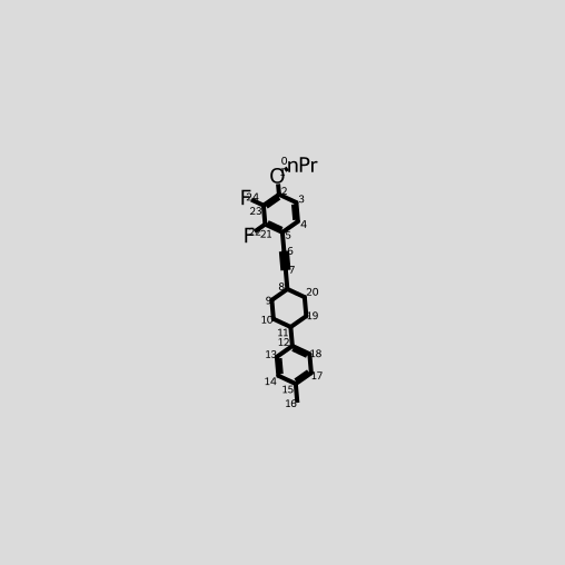 CCCOc1ccc(C#CC2CCC(c3ccc(C)cc3)CC2)c(F)c1F